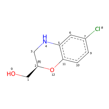 OC[C@H]1CNc2cc(Cl)ccc2O1